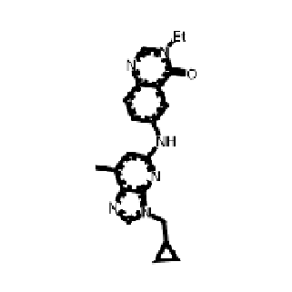 CCn1cnc2ccc(Nc3cc(C)c4ncn(CC5CC5)c4n3)cc2c1=O